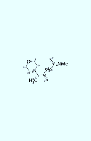 CNC(=S)SSC(=S)N(C)N1CCOCC1